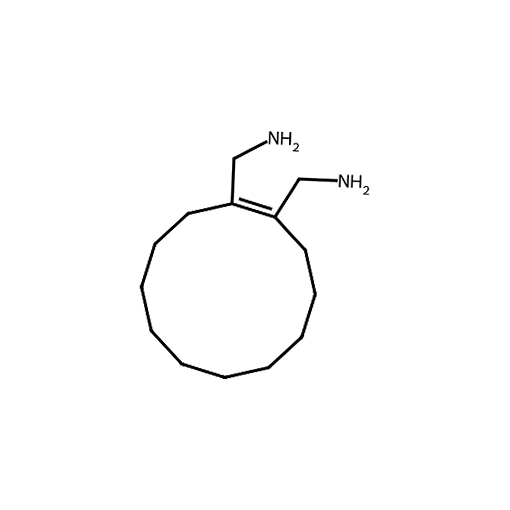 NCC1=C(CN)CCCCCCCCCC1